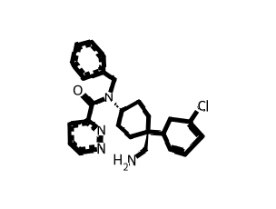 NC[C@]1(C2C=CC=C(Cl)C2)CC[C@@H](N(Cc2ccccc2)C(=O)c2cccnn2)CC1